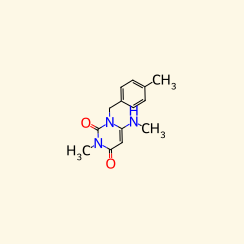 CNc1cc(=O)n(C)c(=O)n1Cc1ccc(C)cc1